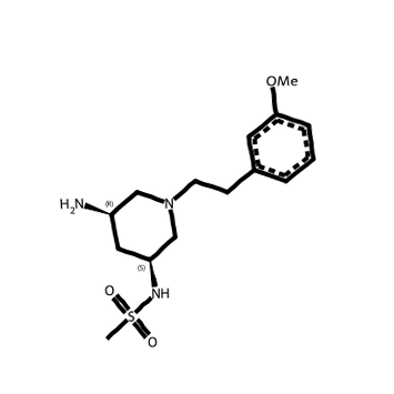 COc1cccc(CCN2C[C@H](N)C[C@H](NS(C)(=O)=O)C2)c1